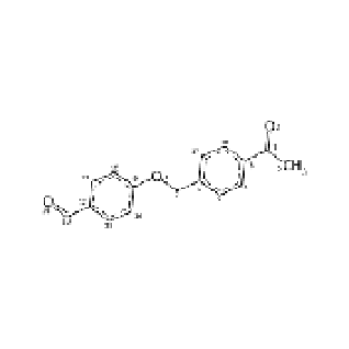 CC(=O)c1ccc(COc2ccc(C=O)cc2)cc1